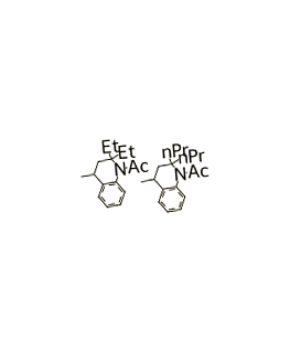 CCC1(CC)CC(C)c2ccccc2N1C(C)=O.CCCC1(CCC)CC(C)c2ccccc2N1C(C)=O